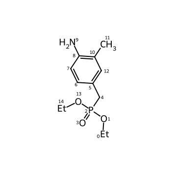 CCOP(=O)(Cc1ccc(N)c(C)c1)OCC